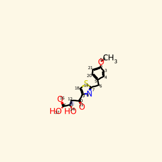 COc1ccc(Cc2nc(C(=O)/C=C(\O)C(=O)O)cs2)cc1